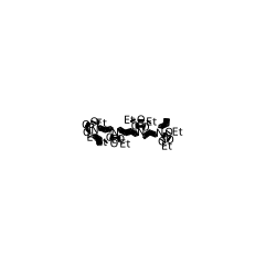 C=CCN(CCCN(CC=CCN(CCCN(CC=C)P(=O)(OCC)OCC)P(=O)(OCC)OCC)P(=O)(OCC)OCC)P(=O)(OCC)OCC